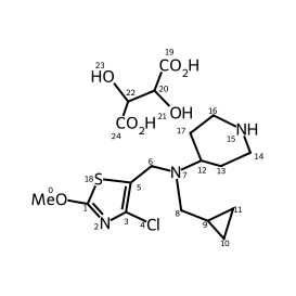 COc1nc(Cl)c(CN(CC2CC2)C2CCNCC2)s1.O=C(O)C(O)C(O)C(=O)O